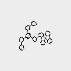 c1ccc(-c2cccc(-c3cc(-c4cccc(-c5ccccc5)c4)nc(-c4cccc(-c5cccc6c5-c5ccccc5C65c6ccccc6-c6ccccc65)c4)n3)c2)cc1